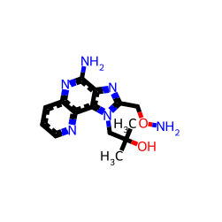 CC(C)(O)Cn1c(CON)nc2c(N)nc3cccnc3c21